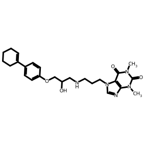 Cn1c(=O)c2c(ncn2CCCNCC(O)COc2ccc(C3=CCCCC3)cc2)n(C)c1=O